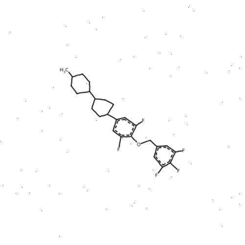 CC1CCC(C2CCC(c3cc(F)c(OCc4cc(F)c(F)c(F)c4)c(F)c3)CC2)CC1